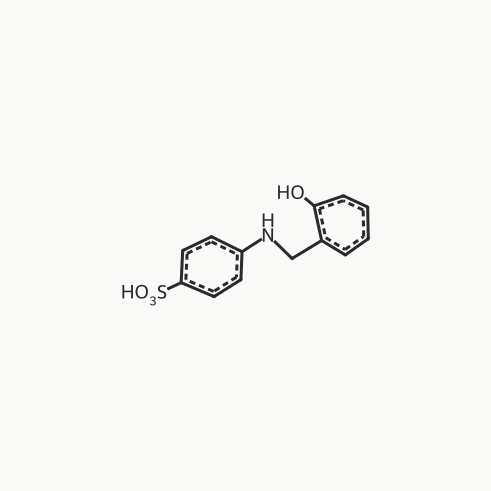 O=S(=O)(O)c1ccc(NCc2ccccc2O)cc1